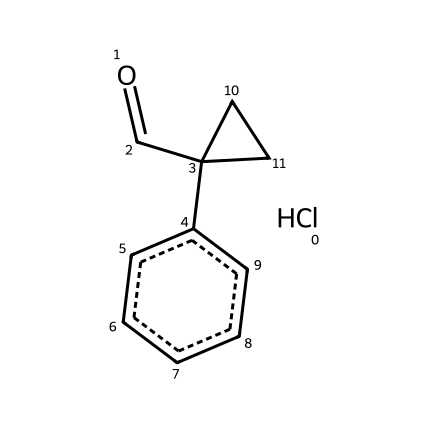 Cl.O=CC1(c2ccccc2)CC1